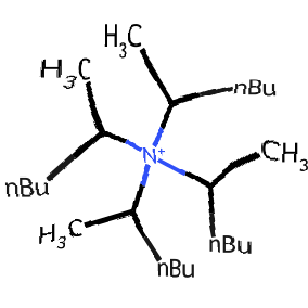 CCCCC(C)[N+](C(C)CCCC)(C(C)CCCC)C(C)CCCC